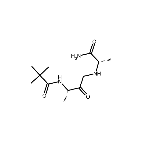 C[C@H](NCC(=O)[C@H](C)NC(=O)C(C)(C)C)C(N)=O